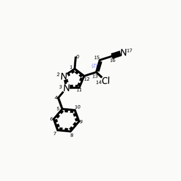 Cc1nn(Cc2ccccc2)cc1/C(Cl)=C/C#N